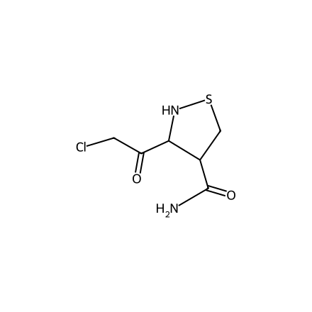 NC(=O)C1CSNC1C(=O)CCl